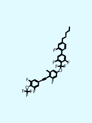 CCCCCc1ccc(-c2cc(F)c(C(F)(F)Oc3cc(C)c(C#Cc4cc(F)c(OC(F)(F)F)c(F)c4)c(F)c3)c(F)c2)c(F)c1